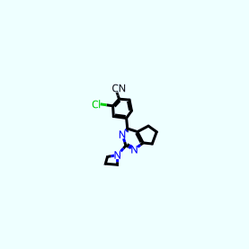 N#Cc1ccc(-c2nc(N3CCC3)nc3c2CCC3)cc1Cl